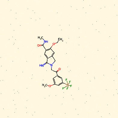 CCOc1cc2c(cc1C(=O)NC)C(=N)N(CC(=O)c1cc(OC)cc(S(F)(F)(F)(F)F)c1)C2